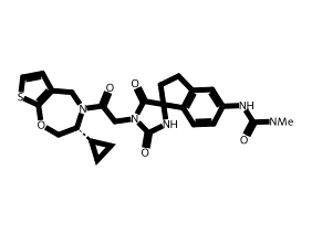 CNC(=O)Nc1ccc2c(c1)CCC21NC(=O)N(CC(=O)N2Cc3ccsc3OC[C@H]2C2CC2)C1=O